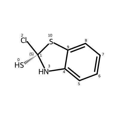 S[C@@]1(Cl)Nc2ccccc2S1